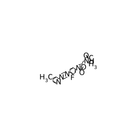 CC(=O)NCC1CN(c2ccc(N3CCN(c4cc(C)ccn4)CC3)c(F)c2)C(=O)O1